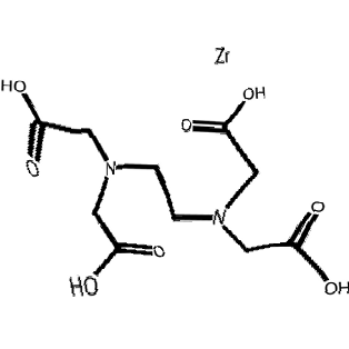 O=C(O)CN(CCN(CC(=O)O)CC(=O)O)CC(=O)O.[Zr]